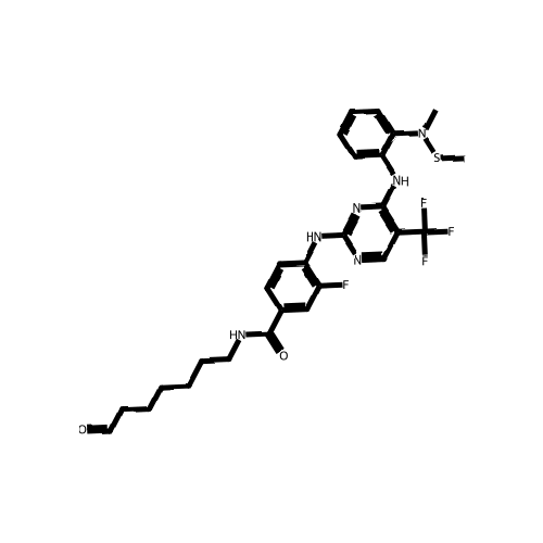 CSN(C)c1ccccc1Nc1nc(Nc2ccc(C(=O)NCCCCCCC=O)cc2F)ncc1C(F)(F)F